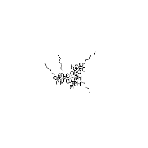 CCCCCCOP(=O)(O)OP(=O)(OCCCCCC)OC([O][Ti](=[O])[OH])(OP(=O)(OCCCCCC)OP(=O)(O)OCCCCCC)C(=O)O